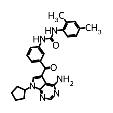 Cc1ccc(NC(=O)Nc2cccc(C(=O)c3cn(C4CCCC4)c4ncnc(N)c34)c2)c(C)c1